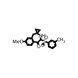 COc1ccc2c(c1)CC1(CC1)NC(S(=O)(=O)c1cccc(C)c1)C2=O